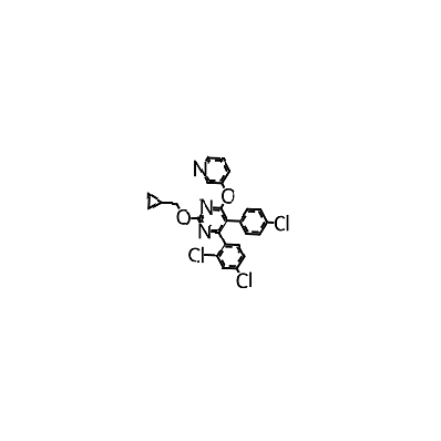 Clc1ccc(-c2c(Oc3cccnc3)nc(OCC3CC3)nc2-c2ccc(Cl)cc2Cl)cc1